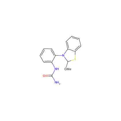 COC1Sc2ccccc2N1c1ccccc1NC(N)=O